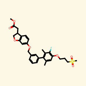 COC(=O)CC1COc2cc(OCc3cccc(-c4c(C)cc(OCCCS(C)(=O)=O)c(F)c4C)c3)ccc21